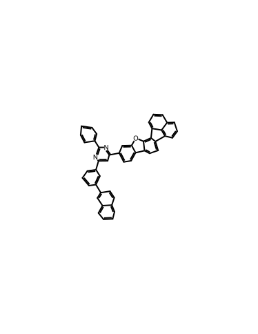 c1ccc(-c2nc(-c3cccc(-c4ccc5ccccc5c4)c3)cc(-c3ccc4c(c3)oc3c5c(ccc34)-c3cccc4cccc-5c34)n2)cc1